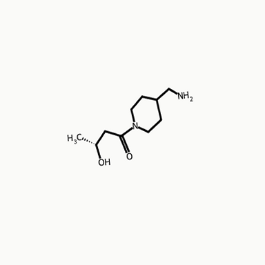 C[C@@H](O)CC(=O)N1CCC(CN)CC1